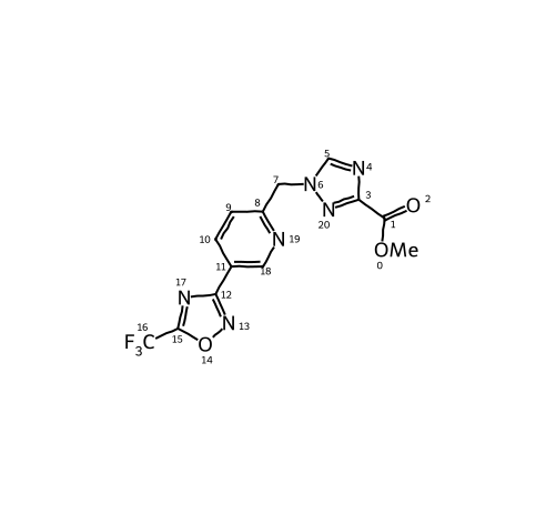 COC(=O)c1ncn(Cc2ccc(-c3noc(C(F)(F)F)n3)cn2)n1